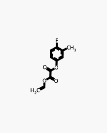 C=COC(=O)C(=O)Oc1ccc(F)c(C)c1